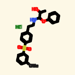 COc1cccc(S(=O)(=O)c2ccc(CCNC(Oc3ccccc3)C(C)O)cc2)c1.Cl